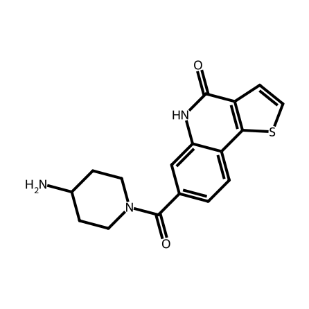 NC1CCN(C(=O)c2ccc3c(c2)[nH]c(=O)c2ccsc23)CC1